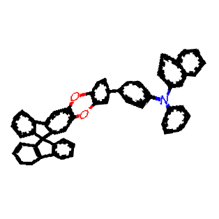 C1=CC2=C(CC1)c1ccccc1C21c2ccccc2-c2cc3c(cc21)Oc1cc(-c2ccc(N(c4ccccc4)c4ccc5ccccc5c4)cc2)ccc1O3